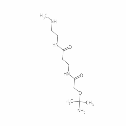 CNCCNC(=O)CCNC(=O)COC(C)(C)N